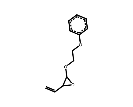 C=CC1OC1OCCOc1ccccc1